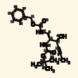 CC#C[C@H](O)[C@H](CNC(=O)OCc1ccccc1)NC(=O)OC(C)(C)C